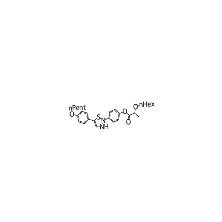 CCCCCCO[C@@H](C)C(=O)Oc1ccc(N2NC=C(c3ccc(OCCCCC)cc3)S2)cc1